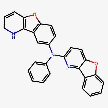 C1=Cc2oc3ccc(N(c4ccccc4)c4ccc5oc6ccccc6c5n4)cc3c2NC1